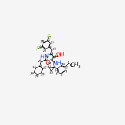 CCc1cccc(C2(NC[C@@H](O)[C@H](Cc3cc(F)cc(F)c3)NC(=O)CC3CCCCC3)CC2)c1